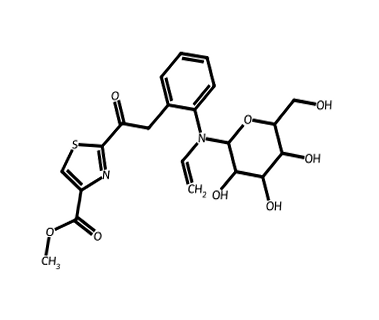 C=CN(c1ccccc1CC(=O)c1nc(C(=O)OC)cs1)C1OC(CO)C(O)C(O)C1O